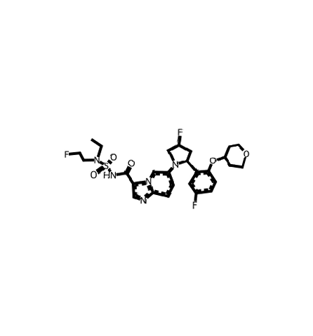 CCN(CCF)S(=O)(=O)NC(=O)c1cnc2ccc(N3CC(F)CC3c3cc(F)ccc3OC3CCOCC3)cn12